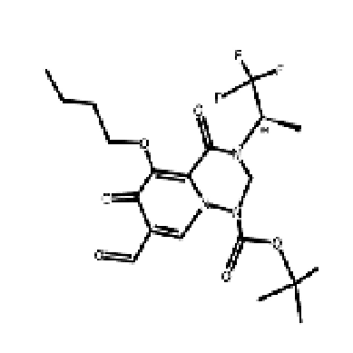 CCCCOc1c2n(cc(C=O)c1=O)N(C(=O)OC(C)(C)C)CN([C@H](C)C(F)(F)F)C2=O